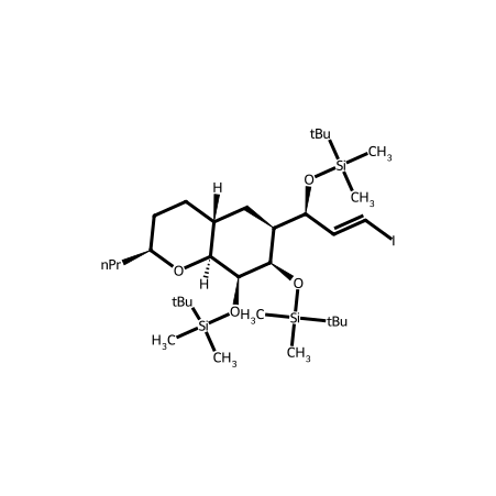 CCC[C@H]1CC[C@@H]2C[C@@H]([C@H](/C=C/I)O[Si](C)(C)C(C)(C)C)[C@@H](O[Si](C)(C)C(C)(C)C)[C@@H](O[Si](C)(C)C(C)(C)C)[C@H]2O1